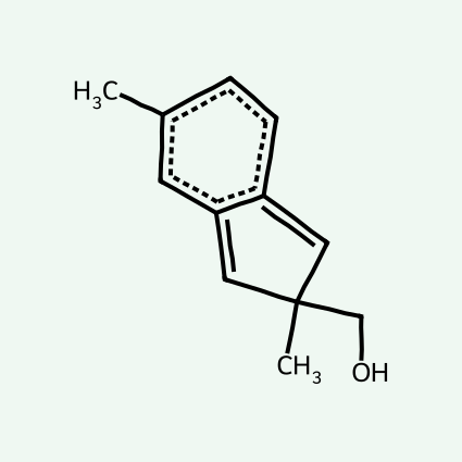 Cc1ccc2c(c1)=CC(C)(CO)C=2